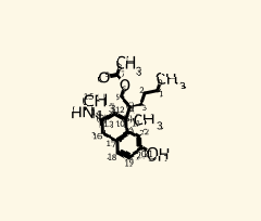 CCCC[C@H](COC(C)=O)[C@]1(C)C[C@@H](NC)Cc2ccc(O)cc21